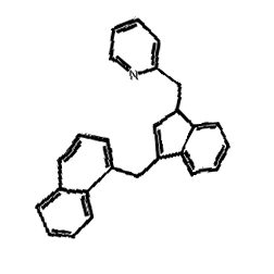 C1=C(Cc2cccc3ccccc23)c2ccccc2C1Cc1ccccn1